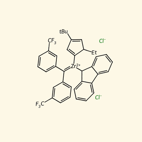 CCC1C=C(C(C)(C)C)C=[C]1[Zr+2](=[C](c1cccc(C(F)(F)F)c1)c1cccc(C(F)(F)F)c1)[CH]1c2ccccc2-c2ccccc21.[Cl-].[Cl-]